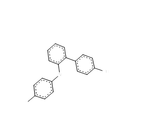 O=Cc1ccc(-c2ccccc2Nc2ccc(F)cc2)cc1